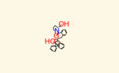 CC(C)(CCc1ccccc1C(=O)N1CCC[C@H]1CO)[Si](O)(c1ccccc1)c1ccccc1